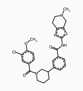 COc1ccc(C(=O)N2CCCC(c3cccc(C(=O)Nc4nc5c(s4)CN(C)CC5)c3)C2)cc1Cl